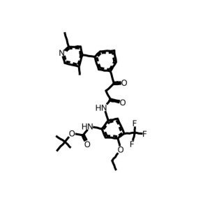 CCOc1cc(NC(=O)OC(C)(C)C)c(NC(=O)CC(=O)c2cccc(-c3cc(C)ncc3C)c2)cc1C(F)(F)F